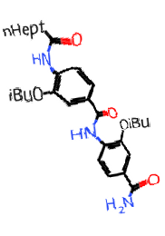 CCCCCCCC(=O)Nc1ccc(C(=O)Nc2ccc(C(N)=O)cc2OCC(C)C)cc1OCC(C)C